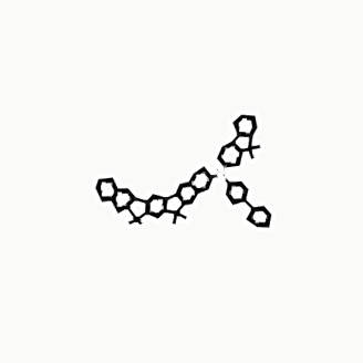 CC1(C)c2ccccc2-c2ccc(N(c3ccc(-c4ccccc4)cc3)c3ccc4cc5c(cc4c3)C(C)(C)c3cc4c(cc3-5)-c3cc5ccccc5cc3C4(C)C)cc21